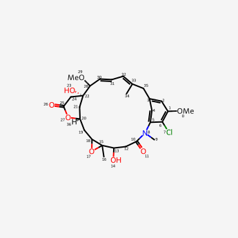 COc1cc2cc(c1Cl)N(C)C(=O)CC(O)C1(C)OC1C[C@@H]1C[C@@](O)(CC(=O)O1)C(OC)/C=C/C=C(\C)C2